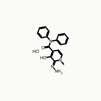 Cl.Cn1ccc(C(=O)N(c2ccccc2)c2ccccc2)c(O)c1=NN